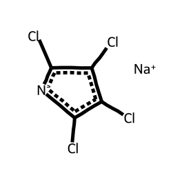 Clc1[n-]c(Cl)c(Cl)c1Cl.[Na+]